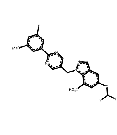 COc1cc(F)cc(-c2ncc(Cn3ncc4cc(OC(F)F)cc(C(=O)O)c43)cn2)c1